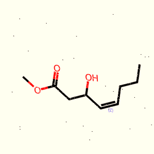 CCC/C=C\C(O)CC(=O)OC